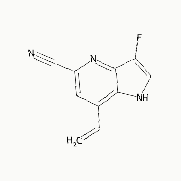 C=Cc1cc(C#N)nc2c(F)c[nH]c12